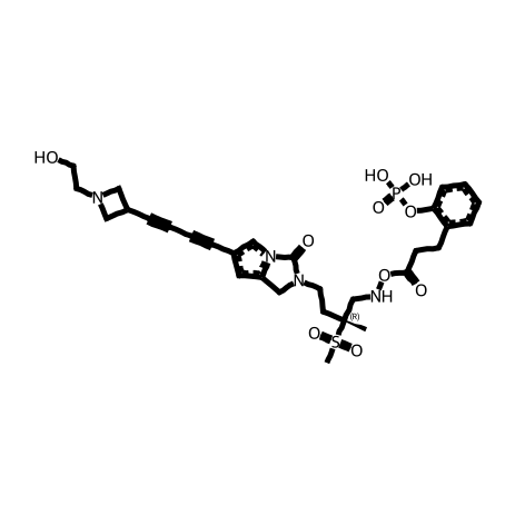 C[C@@](CCN1Cc2cc(C#CC#CC3CN(CCO)C3)cn2C1=O)(CNOC(=O)CCc1ccccc1OP(=O)(O)O)S(C)(=O)=O